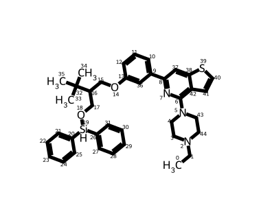 CCN1CCN(c2nc(-c3cccc(OCC(CO[SiH](c4ccccc4)c4ccccc4)C(C)(C)C)c3)cc3sccc23)CC1